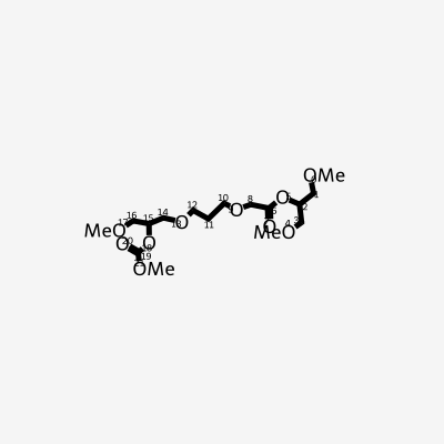 COCC(COC)OC(=O)COCCCOCC(COC)OC(=O)OC